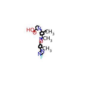 CCc1cc(/C(C)=N/OCc2ccc(-c3cnc(F)cn3)c(C)c2)ccc1CN1CCCC(C(=O)O)C1